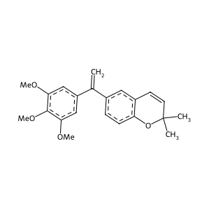 C=C(c1ccc2c(c1)C=CC(C)(C)O2)c1cc(OC)c(OC)c(OC)c1